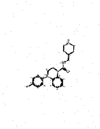 O=C(NCC1CCNCC1)N1CCN(c2ccc(F)cc2)c2ccccc21